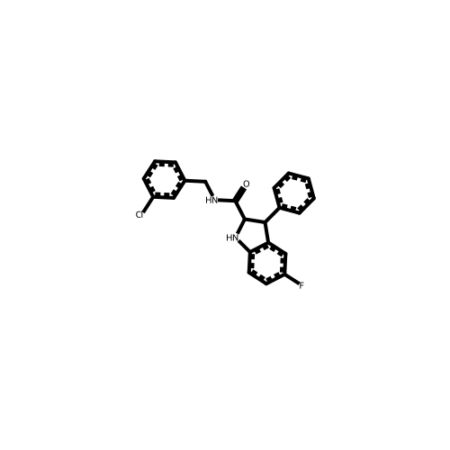 O=C(NCc1cccc(Cl)c1)C1Nc2ccc(F)cc2C1c1ccccc1